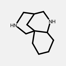 C1CCC23CNCC(CNC2C1)C3